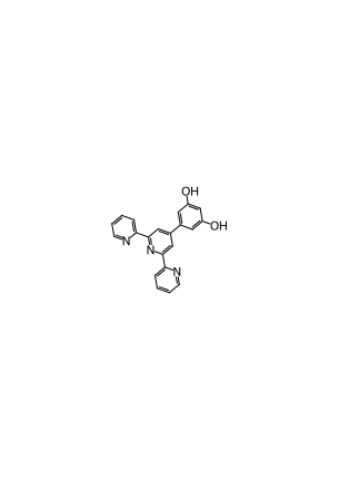 Oc1cc(O)cc(-c2cc(-c3ccccn3)nc(-c3ccccn3)c2)c1